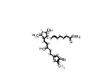 COC(=O)CCCC=CC[C@H]1C(O)CC(C)[C@@H]1C=CC(O)CCc1cc(Br)c(C)s1